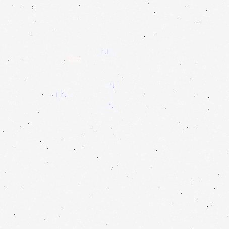 Cc1cc(C(=O)O)cc(-n2cc(N)c(C(N)=O)n2)c1